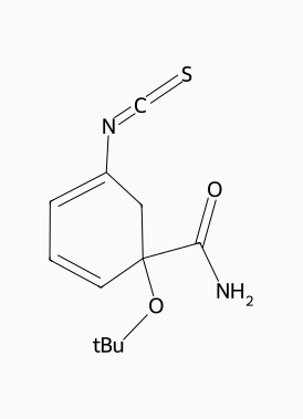 CC(C)(C)OC1(C(N)=O)C=CC=C(N=C=S)C1